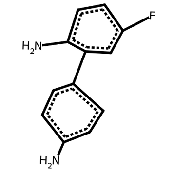 Nc1ccc(-c2cc(F)ccc2N)cc1